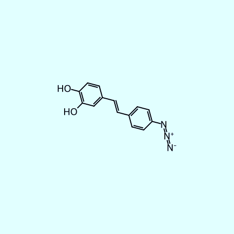 [N-]=[N+]=Nc1ccc(C=Cc2ccc(O)c(O)c2)cc1